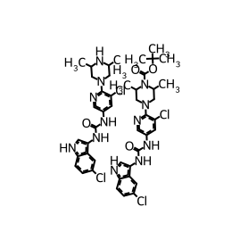 CC1CN(c2ncc(NC(=O)Nc3c[nH]c4ccc(Cl)cc34)cc2Cl)CC(C)N1.CC1CN(c2ncc(NC(=O)Nc3c[nH]c4ccc(Cl)cc34)cc2Cl)CC(C)N1C(=O)OC(C)(C)C